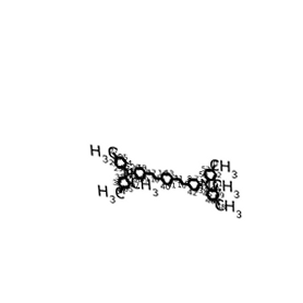 Cc1ccc(N(c2ccc(C=Cc3ccc(C=Cc4ccc(N(c5ccc(C)cc5)c5ccc(C)cc5C)cc4)cc3)cc2)c2ccc(C)cc2C)cc1